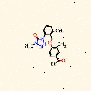 CCC(=O)c1ccc(OCc2c(C)cccc2-n2nnn(C)c2=O)c(C)c1